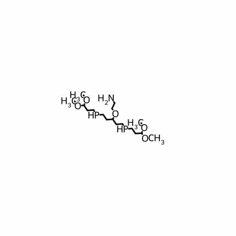 COC(CCPCCC(CCPCCC(OC)OC)OCCN)OC